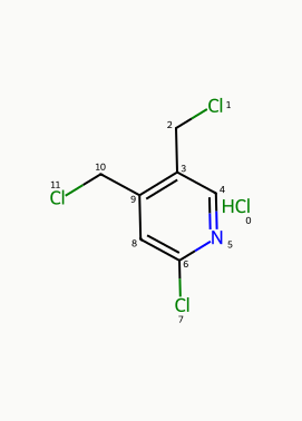 Cl.ClCc1cnc(Cl)cc1CCl